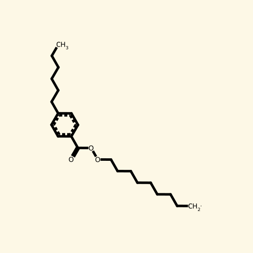 [CH2]CCCCCCCCOOC(=O)c1ccc(CCCCCC)cc1